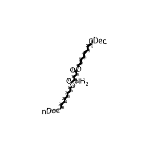 CCCCCCCCCCCCCCCCCCOC(=O)CC[C@H](N)C(=O)OCCCCCCCCCCCCCCCCCC